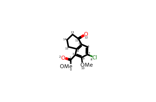 COC(=O)c1c2c(cc(Cl)c1OC)C(=O)CCC2